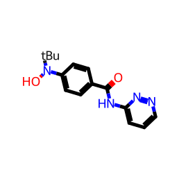 CC(C)(C)N(O)c1ccc(C(=O)Nc2cccnn2)cc1